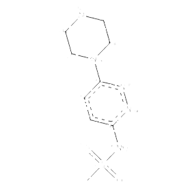 CS(=O)(=O)Nc1ccc(N2CC[N]CC2)nn1